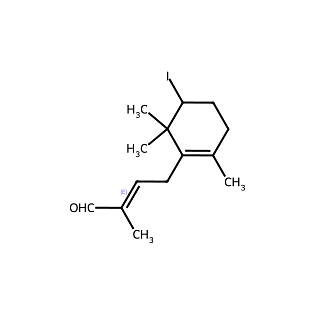 CC1=C(C/C=C(\C)C=O)C(C)(C)C(I)CC1